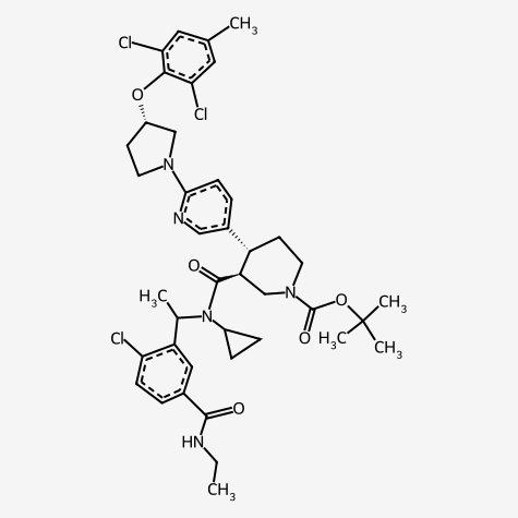 CCNC(=O)c1ccc(Cl)c(C(C)N(C(=O)[C@@H]2CN(C(=O)OC(C)(C)C)CC[C@H]2c2ccc(N3CC[C@H](Oc4c(Cl)cc(C)cc4Cl)C3)nc2)C2CC2)c1